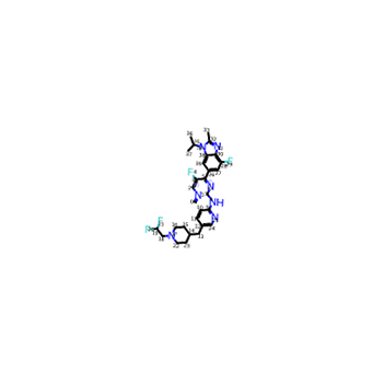 C=N/C=C(F)\C(=N/CNc1ccc(CC2CCN(CC(F)F)CC2)cn1)c1cc(F)c2nc(C)n(C(C)C)c2c1